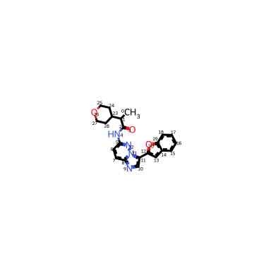 CC(C(=O)Nc1ccc2ncc(-c3cc4ccccc4o3)n2n1)C1CCOCC1